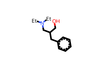 CCN(CC)CC(CO)Cc1ccccc1